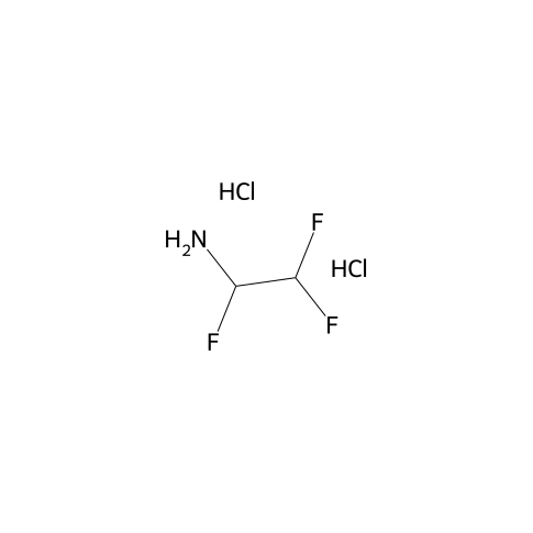 Cl.Cl.NC(F)C(F)F